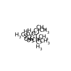 C[SiH](C)OC(OC(CC(C)(C)C)CC(C)(C)C)[S+](C)[O-]